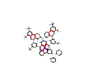 CC(C)(C)c1cc(-c2ccc3c(c2)N(c2c(-c4ccccc4)cc(C(C)(C)C)cc2-c2ccccc2)c2cc(-n4c5ccccc5c5cc(N(c6ccccc6)c6ccccc6)ccc54)cc4c2B3c2ccc(-c3cc(C(C)(C)C)cc(C(C)(C)C)c3)cc2N4c2c(-c3ccccc3)cc(C(C)(C)C)cc2-c2ccccc2)cc(C(C)(C)C)c1